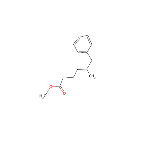 COC(=O)CCCC(C)Cc1ccccc1